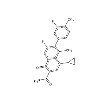 Cc1ccc(-c2c(F)cn3c(=O)c(C(N)=O)cc(C4CC4)c3c2C)cc1F